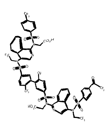 N#Cc1ccc(S(=O)(=O)N(CC(=O)O)c2ncc(N(CC(F)(F)F)S(=O)(=O)c3ccc(C(=O)C(F)(F)F)cc3)c3ccccc23)cc1-c1cc(S(=O)(=O)N(CC(F)(F)F)c2cnc(N(CC(=O)O)S(=O)(=O)c3ccc(C(F)(F)F)cc3)c3ccccc23)ccc1C(F)(F)F